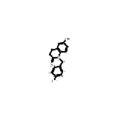 Cc1ccc2c(c1)CCC(=O)N2Cc1ccc(Cl)cc1